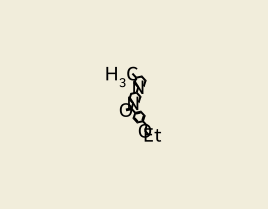 CCOCc1ccc(C(=O)N2CCC(N3CCCC(C)C3)CC2)cc1